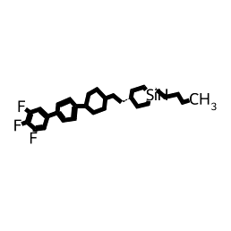 CCCCC[Si@H]1CC[C@H](CCC2CCC(c3ccc(-c4cc(F)c(F)c(F)c4)cc3)CC2)CC1